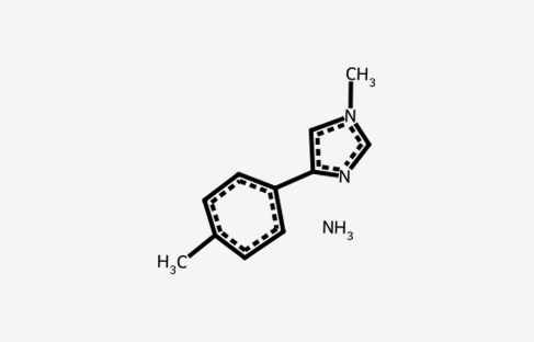 Cc1ccc(-c2cn(C)cn2)cc1.N